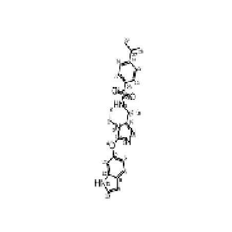 CCn1c(Oc2ccc3cc[nH]c3c2)nnc1[C@@H](C)NS(=O)(=O)c1ccc(C(C)C)cc1